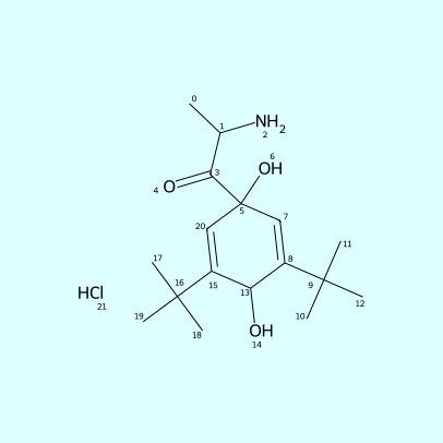 CC(N)C(=O)C1(O)C=C(C(C)(C)C)C(O)C(C(C)(C)C)=C1.Cl